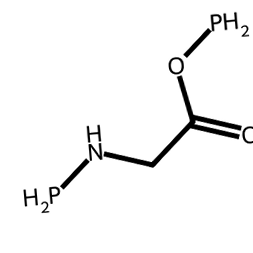 O=C(CNP)OP